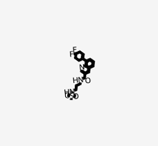 CS(=O)(=O)NCCCNC(=O)c1cnc2c(C3=CCC(F)(F)CC3)cccc2c1